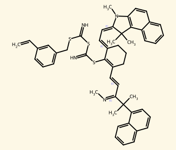 C=Cc1cccc(CSC(=N)SC(=N)SC2=C(/C=C/C(=N\C)C(C)(C)c3cccc4ccccc34)CCC/C2=C\C=C2\N(C)c3ccc4ccccc4c3C2(C)C)c1